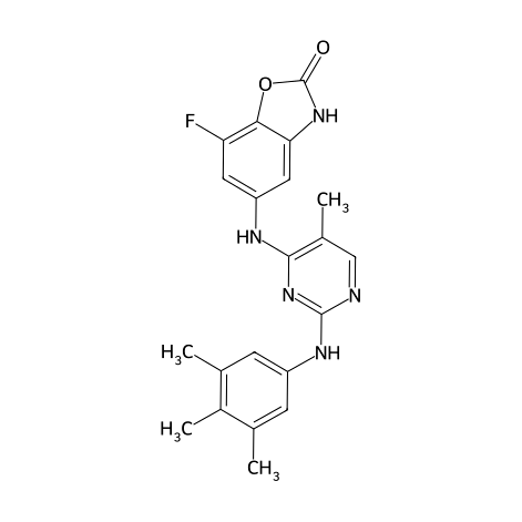 Cc1cnc(Nc2cc(C)c(C)c(C)c2)nc1Nc1cc(F)c2oc(=O)[nH]c2c1